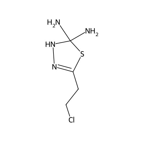 NC1(N)NN=C(CCCl)S1